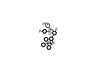 O=C(c1ccc(F)cc1)N(Cc1cc(-c2ccc3c(c2)nnn3C(c2ccccc2)(c2ccccc2)c2ccccc2)ccc1F)C1CCNCC1